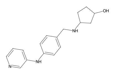 OC1CCC(NCc2ccc(Nc3cccnc3)cc2)C1